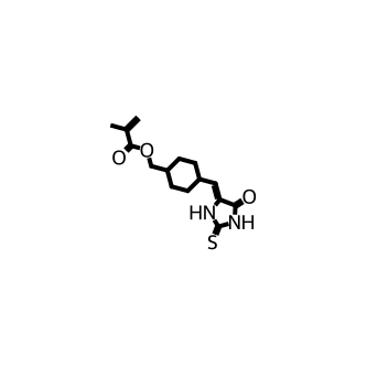 C=C(C)C(=O)OCC1CCC(/C=C2\NC(=S)NC2=O)CC1